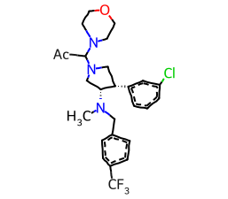 CC(=O)C(N1CCOCC1)N1C[C@H](c2cccc(Cl)c2)[C@H](N(C)Cc2ccc(C(F)(F)F)cc2)C1